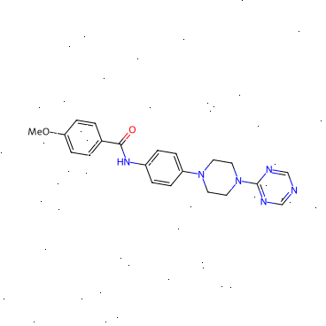 COc1ccc(C(=O)Nc2ccc(N3CCN(c4ncncn4)CC3)cc2)cc1